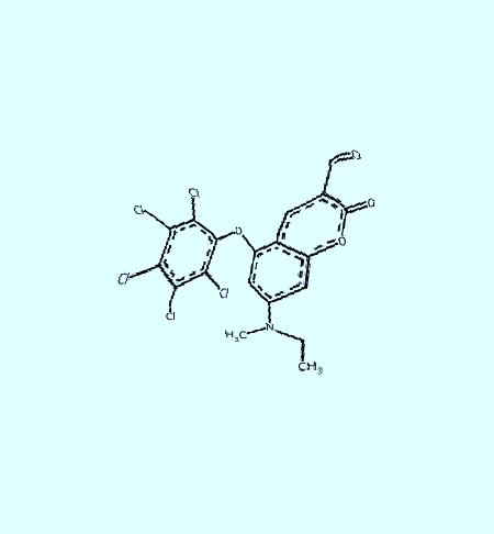 CCN(C)c1cc(Oc2c(Cl)c(Cl)c(Cl)c(Cl)c2Cl)c2cc(C=O)c(=O)oc2c1